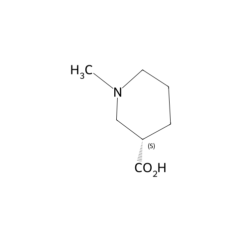 CN1CCC[C@H](C(=O)O)C1